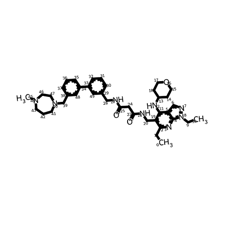 CCc1nc2c(cnn2CC)c(NC2CCOCC2)c1CNC(=O)CC(=O)NCc1cccc(-c2cccc(CN3CCCN(C)CC3)c2)c1